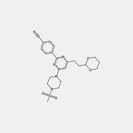 CS(=O)(=O)N1CCN(c2cc(CCC3OCCCO3)nc(-c3ccc(C#N)cc3)n2)CC1